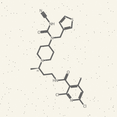 Cc1cc(Cl)nc(Cl)c1C(=O)NCC[C@@H](C)N1CCC(N(Cc2ccsc2)C(=O)NC#N)CC1